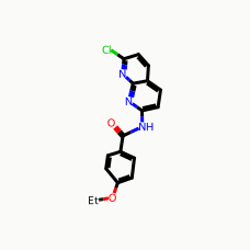 CCOc1ccc(C(=O)Nc2ccc3ccc(Cl)nc3n2)cc1